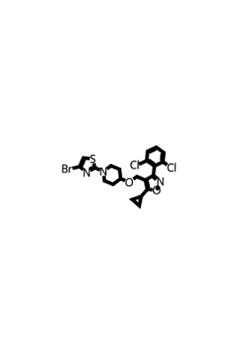 Clc1cccc(Cl)c1-c1noc(C2CC2)c1COC1CCN(c2nc(Br)cs2)CC1